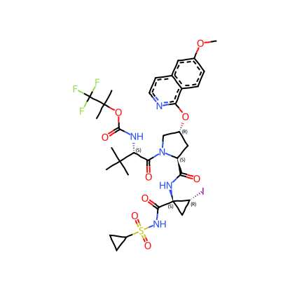 COc1ccc2c(O[C@@H]3C[C@@H](C(=O)N[C@]4(C(=O)NS(=O)(=O)C5CC5)C[C@H]4I)N(C(=O)[C@@H](NC(=O)OC(C)(C)C(F)(F)F)C(C)(C)C)C3)nccc2c1